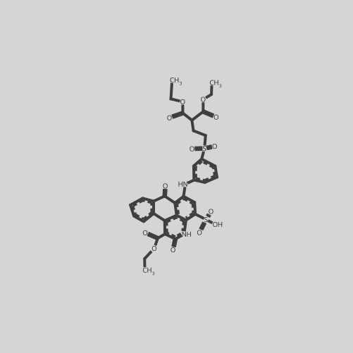 CCOC(=O)c1c2c3c(c(Nc4cccc(S(=O)(=O)CCC(C(=O)OCC)C(=O)OCC)c4)cc(S(=O)(=O)O)c3[nH]c1=O)C(=O)c1ccccc1-2